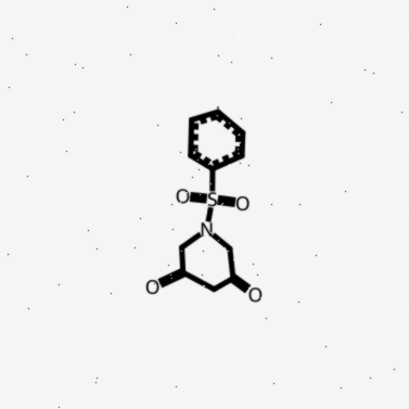 O=C1CC(=O)CN(S(=O)(=O)c2cc[c]cc2)C1